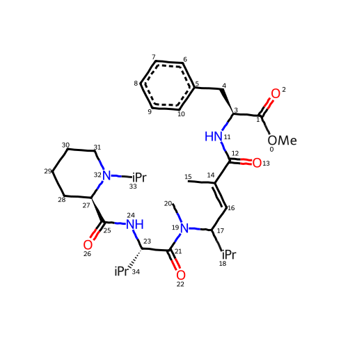 COC(=O)[C@H](Cc1ccccc1)NC(=O)/C(C)=C/C(C(C)C)N(C)C(=O)[C@@H](NC(=O)[C@H]1CCCCN1C(C)C)C(C)C